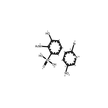 CC(=O)Nc1c(O)cccc1[As](=O)(O)O.O=[N+]([O-])c1ccc(Br)nc1